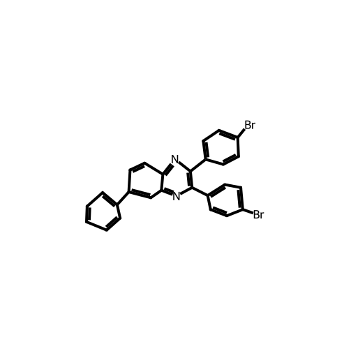 Brc1ccc(-c2nc3ccc(-c4ccccc4)cc3nc2-c2ccc(Br)cc2)cc1